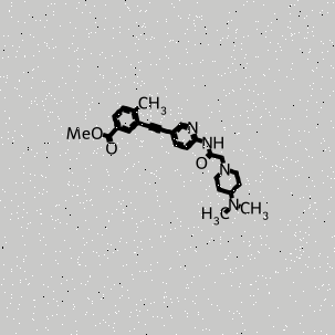 COC(=O)c1ccc(C)c(C#Cc2ccc(NC(=O)CN3CCC(N(C)C)CC3)nc2)c1